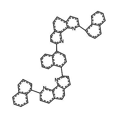 c1ccc2c(-c3ccc4ccc5ccc(-c6ccc(-c7ccc8ccc9ccc(-c%10cccc%11ccccc%10%11)nc9c8n7)c7ccccc67)nc5c4n3)cccc2c1